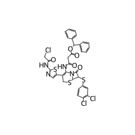 O=C(CC(=O)OC(c1ccccc1)c1ccccc1)NC1=C(c2cnc(NC(=O)CCl)s2)CSC2C(Sc3ccc(Cl)c(Cl)c3)C(=O)N12